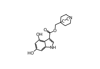 O=C(OCC12CCN(CC1)CC2)c1c[nH]c2cc(O)cc(O)c12